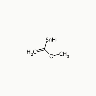 C=[C]([SnH])OC